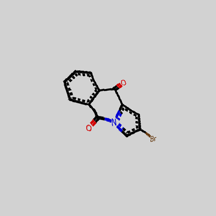 O=C1c2ccccc2C(=O)n2cc(Br)cc21